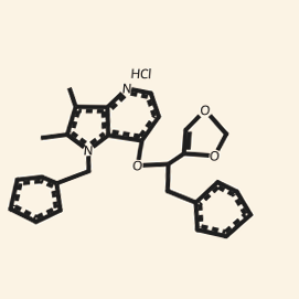 Cc1c(C)n(Cc2ccccc2)c2c(OC(Cc3ccccc3)C3=COCO3)ccnc12.Cl